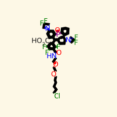 O=C(NCCOCCOCCCCCCCl)c1c(F)c(F)c(C(=O)O)c(C2=C3C=CC(=[N+]4CC(F)(F)C4)C=C3P(=O)(c3ccccc3)c3cc(N4CC(F)(F)C4)ccc32)c1F